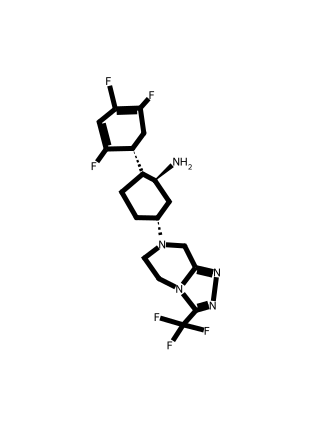 N[C@H]1C[C@H](N2CCn3c(nnc3C(F)(F)F)C2)CCC1[C@H]1CC(F)=C(F)C=C1F